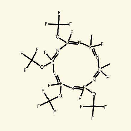 CP1(F)=NP(C)(F)=NP(F)(OC(F)(F)F)=NP(F)(OC(F)(F)F)=NP(F)(OC(F)(F)F)=NP(F)(OC(F)(F)F)=N1